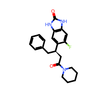 O=C(C[C@@H](Cc1ccccc1)c1cc2[nH]c(=O)[nH]c2cc1F)N1CCCCC1